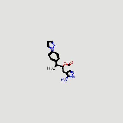 CC(c1ccc(-n2cccn2)cc1)C(Cc1cn[nH]c1N)OC=O